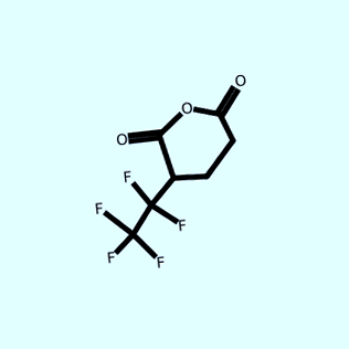 O=C1CCC(C(F)(F)C(F)(F)F)C(=O)O1